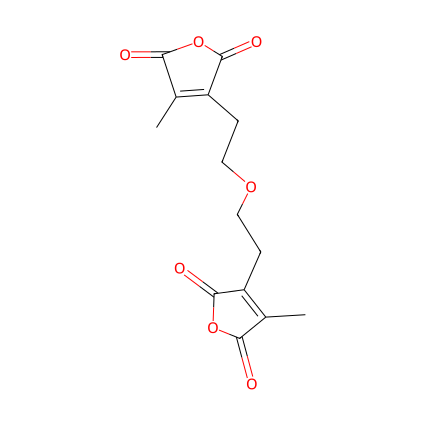 CC1=C(CCOCCC2=C(C)C(=O)OC2=O)C(=O)OC1=O